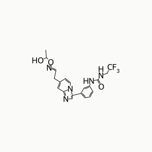 CC(O)ON=CCc1ccn2c(-c3cccc(NC(=O)NCC(F)(F)F)c3)cnc2c1